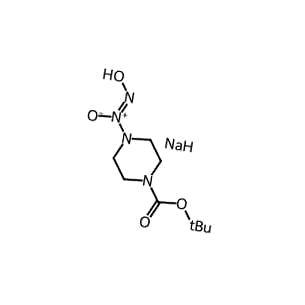 CC(C)(C)OC(=O)N1CCN([N+]([O-])=NO)CC1.[NaH]